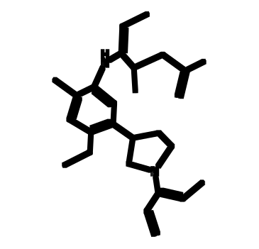 C=C/C(=C/C)N1CCC(c2cc(N/C(=C/C)C(C)CC(=C)C)c(C)cc2CC)C1